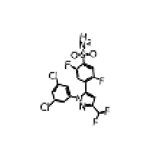 NS(=O)(=O)c1cc(F)c(-c2cc(C(F)F)nn2-c2cc(Cl)cc(Cl)c2)cc1F